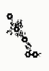 CCN(CC)CC[C@H](CSc1ccccc1)Nc1ccc(S(=O)(=O)NC(=O)c2ccc(N3CCN(CC4=C(c5ccc(Cl)cc5)CCCC4)CC3)cc2)cc1S(=O)(=O)C(F)(F)F